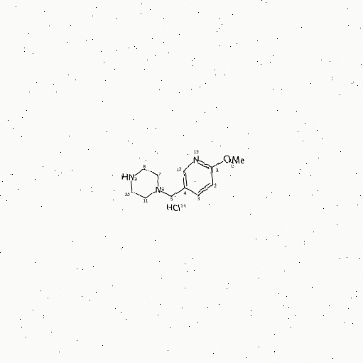 COc1ccc(CN2CCNCC2)cn1.Cl